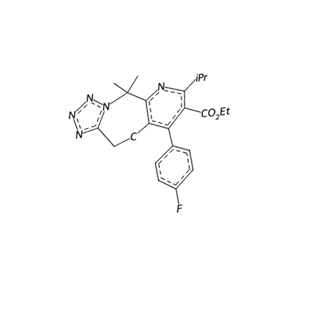 CCOC(=O)c1c(C(C)C)nc2c(c1-c1ccc(F)cc1)CCc1nnnn1C2(C)C